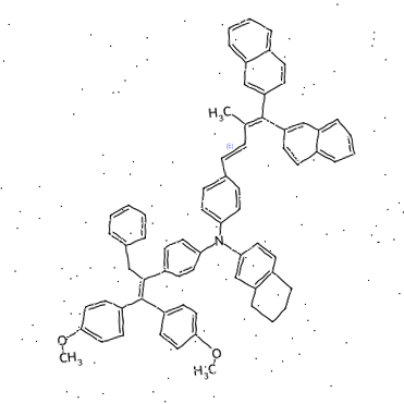 COc1ccc(C(=C(Cc2ccccc2)c2ccc(N(c3ccc(/C=C/C(C)=C(c4ccc5ccccc5c4)c4ccc5ccccc5c4)cc3)c3ccc4c(c3)CCCC4)cc2)c2ccc(OC)cc2)cc1